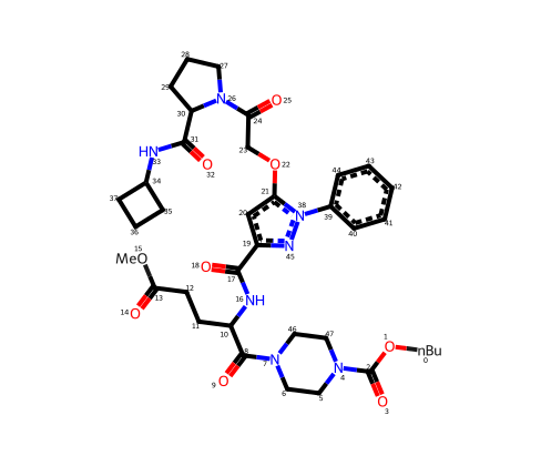 CCCCOC(=O)N1CCN(C(=O)C(CCC(=O)OC)NC(=O)c2cc(OCC(=O)N3CCCC3C(=O)NC3CCC3)n(-c3ccccc3)n2)CC1